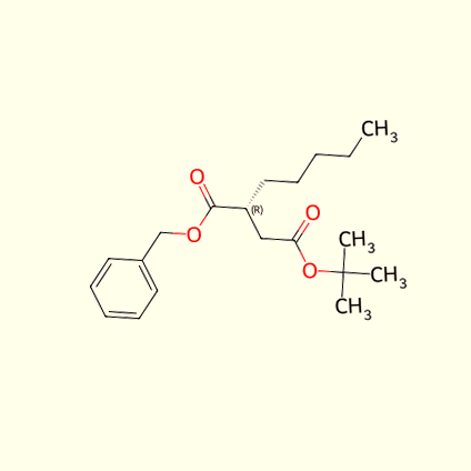 CCCCC[C@H](CC(=O)OC(C)(C)C)C(=O)OCc1ccccc1